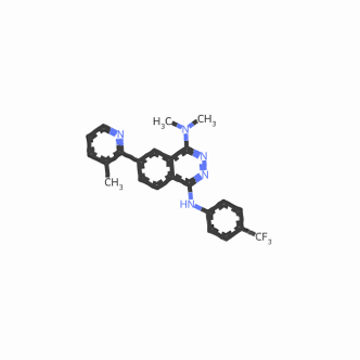 Cc1cccnc1-c1ccc2c(Nc3ccc(C(F)(F)F)cc3)nnc(N(C)C)c2c1